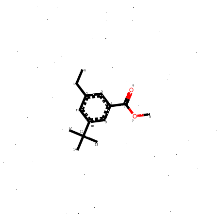 CCc1cc(C(=O)OC)cc(C(C)(C)C)c1